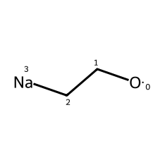 [O]C[CH2][Na]